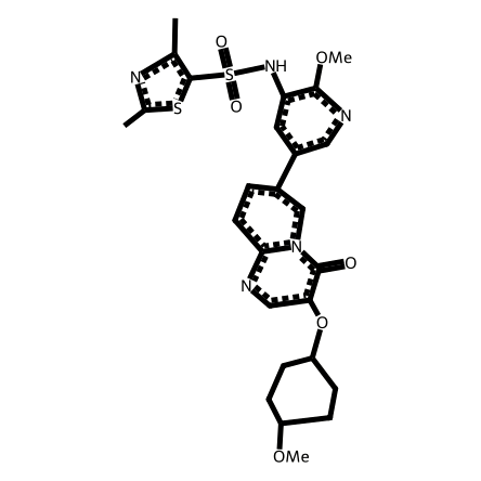 COc1ncc(-c2ccc3ncc(OC4CCC(OC)CC4)c(=O)n3c2)cc1NS(=O)(=O)c1sc(C)nc1C